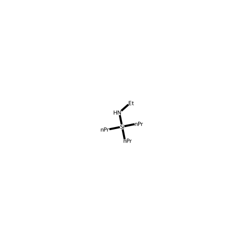 CCC[Si](CCC)(CCC)NCC